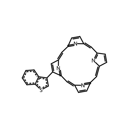 C1=CC2=NC1=CC1=NC(=CC3=NC(=CC4=NC(=C2)C=C4)C=C3c2csc3ccccc23)C=C1